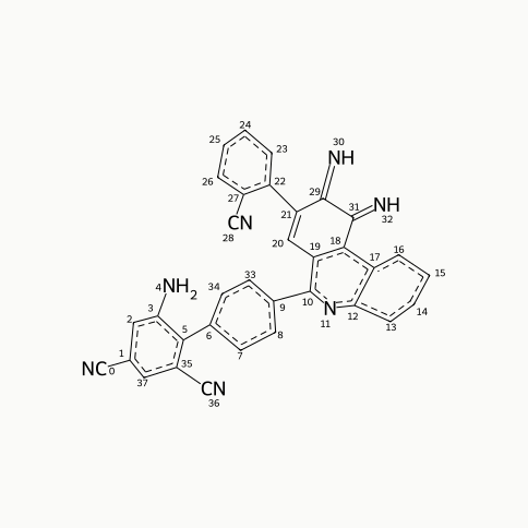 N#Cc1cc(N)c(-c2ccc(-c3nc4ccccc4c4c3C=C(c3ccccc3C#N)C(=N)C4=N)cc2)c(C#N)c1